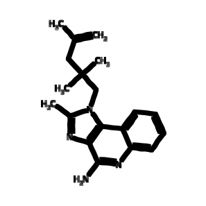 C=C(C)CC(C)(C)Cn1c(C)nc2c(N)nc3ccccc3c21